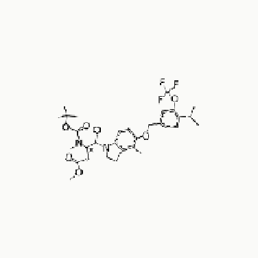 COC(=O)C[C@H](C(=O)N1CCc2c1ccc(OCc1ccc(C(C)C)c(OC(F)(F)F)c1)c2C)N(C)C(=O)OC(C)(C)C